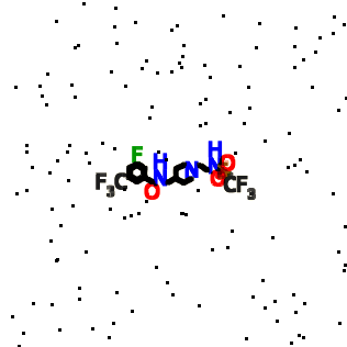 O=C(NCC1CCN(CCNS(=O)(=O)CC(F)(F)F)CC1)c1cc(F)cc(C(F)(F)F)c1